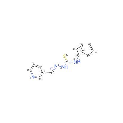 S=C(N/N=C/c1cccnc1)NC1CC2C=CC1C2